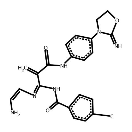 C=C(C(=O)Nc1ccc(N2CCOC2=N)cc1)/C(=N\C=C/N)NC(=O)c1ccc(Cl)cc1